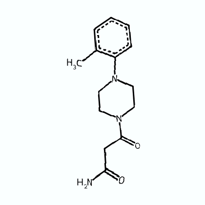 Cc1ccccc1N1CCN(C(=O)CC(N)=O)CC1